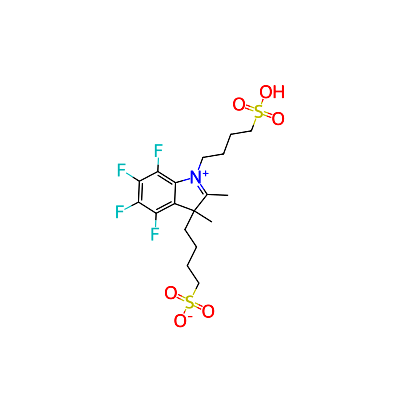 CC1=[N+](CCCCS(=O)(=O)O)c2c(F)c(F)c(F)c(F)c2C1(C)CCCCS(=O)(=O)[O-]